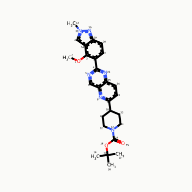 COc1c(-c2ncc3nc(C4CCN(C(=O)OC(C)(C)C)CC4)ccc3n2)ccc2nn(C)cc12